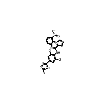 Cc1nc(-c2cc(Cl)c(Nc3nc4cccc([N+](=O)[O-])c4n4cncc34)c(Cl)c2)no1